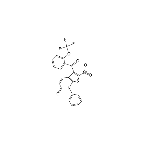 O=C(c1ccccc1OC(F)(F)F)c1c([N+](=O)[O-])sc2c1ccc(=O)n2-c1ccccc1